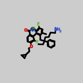 CCC(CCCCN)(Cc1c(C)cc(F)c(Cl)c1-c1c(C(N)=O)ccc(OCCC2CC2)c1F)c1ccccc1